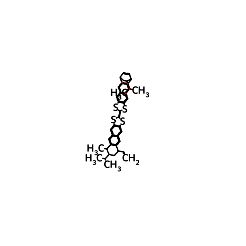 C=CC1CC(C(C)C)C(C)c2cc3cc4c(cc3cc21)S/C(=C1/Sc2cc3cc5c(cc3cc2S1)C1C=CC5CC1C(C)C)S4